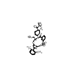 Cc1cccc(C)c1-c1cc2nc(n1)NS(=O)(=O)c1cccc(c1)C(=O)N([C@H]1CC[C@H](C(=O)N(C)C)CC1)[C@H](CC(C)(C)C)CO2